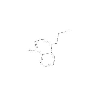 CC(C)CCc1cc[n+]([O-])c2ccccc12